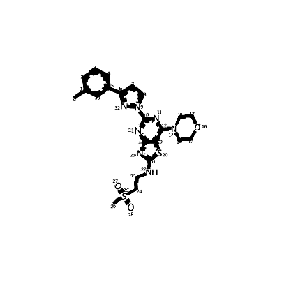 Cc1cccc(-c2ccn(-c3nc(N4CCOCC4)c4sc(NCCS(C)(=O)=O)nc4n3)n2)c1